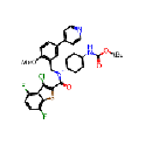 COc1ccc(-c2ccncc2)cc1CN(C(=O)c1sc2c(F)ccc(F)c2c1Cl)[C@H]1CC[C@@H](NC(=O)OC(C)(C)C)CC1